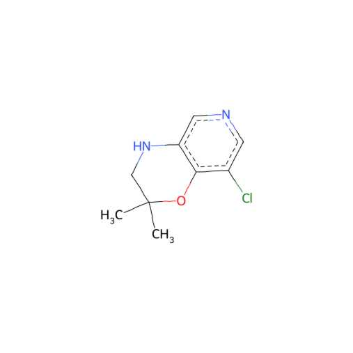 CC1(C)CNc2cncc(Cl)c2O1